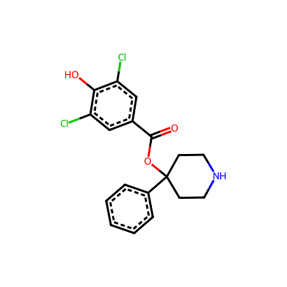 O=C(OC1(c2ccccc2)CCNCC1)c1cc(Cl)c(O)c(Cl)c1